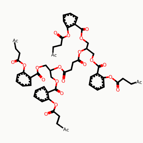 CC(=O)CCC(=O)Oc1ccccc1C(=O)OCC(COC(=O)c1ccccc1OC(=O)CCC(C)=O)OC(=O)CCC(=O)OC(COC(=O)c1ccccc1OC(=O)CCC(C)=O)COC(=O)c1ccccc1OC(=O)CCC(C)=O